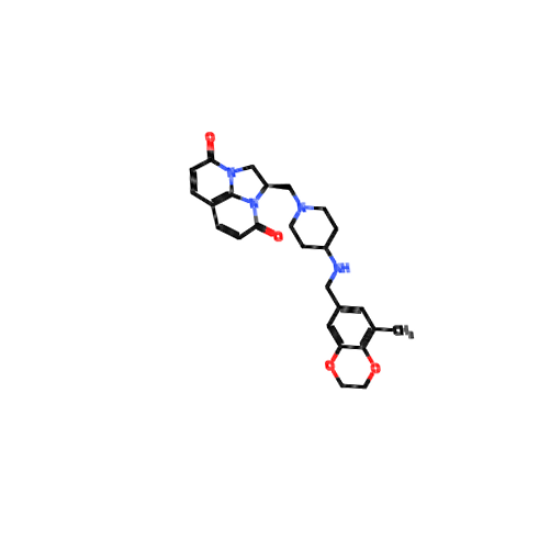 Cc1cc(CNC2CCN(C[C@@H]3Cn4c(=O)ccc5ccc(=O)n3c54)CC2)cc2c1OCCO2